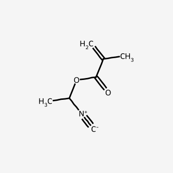 [C-]#[N+]C(C)OC(=O)C(=C)C